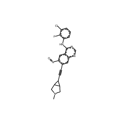 CN1CC2C(C#Cc3cc4ncnc(Nc5cccc(Cl)c5F)c4cc3N=O)C2C1